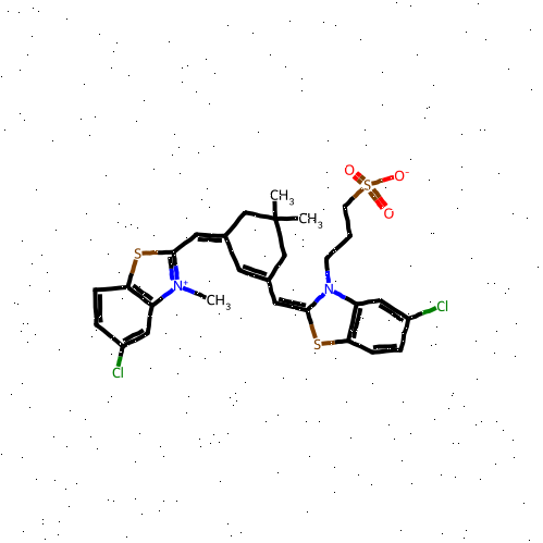 C[n+]1c(C=C2C=C(C=C3Sc4ccc(Cl)cc4N3CCCS(=O)(=O)[O-])CC(C)(C)C2)sc2ccc(Cl)cc21